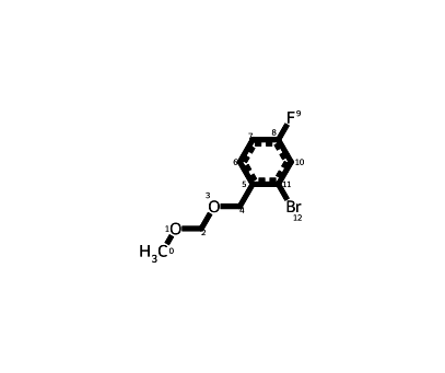 COCOCc1ccc(F)cc1Br